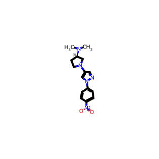 CN(C)[C@@H]1CCN(c2cnn(-c3ccc([N+](=O)[O-])cc3)c2)C1